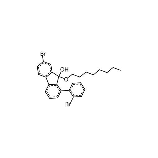 CCCCCCCCOC1(O)c2cc(Br)ccc2-c2cccc(-c3ccccc3Br)c21